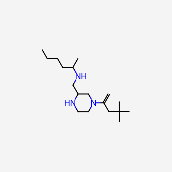 C=C(CC(C)(C)C)N1CCNC(CNC(C)CCCC)C1